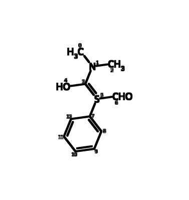 CN(C)C(O)=S(C=O)c1ccccc1